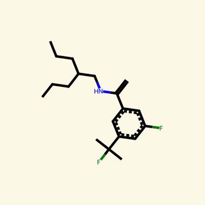 C=C(NCC(CCC)CCC)c1cc(F)cc(C(C)(C)F)c1